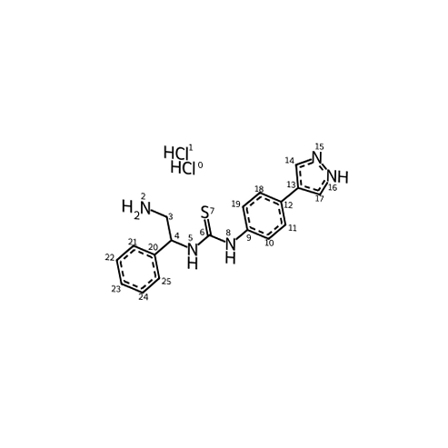 Cl.Cl.NCC(NC(=S)Nc1ccc(-c2cn[nH]c2)cc1)c1ccccc1